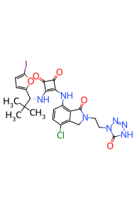 CC(C)(C)[C@@H](Nc1c(Nc2ccc(Cl)c3c2C(=O)N(CCn2nn[nH]c2=O)C3)c(=O)c1=O)c1ccc(I)o1